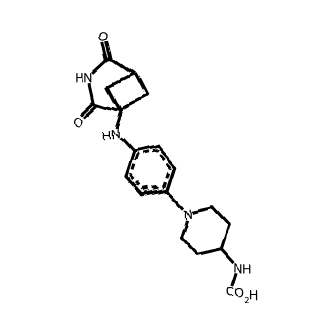 O=C(O)NC1CCN(c2ccc(NC34CC(C3)C(=O)NC4=O)cc2)CC1